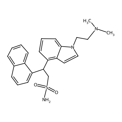 CN(C)CCn1ccc2c(C(CS(N)(=O)=O)c3cccc4ccccc34)cccc21